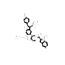 CNC(=O)c1c(-c2ccc(F)cc2)oc2cc(N(C)SC)c([C@H]3CCCN(C(=O)c4cc5cc(F)ccc5n4C)C3)cc12